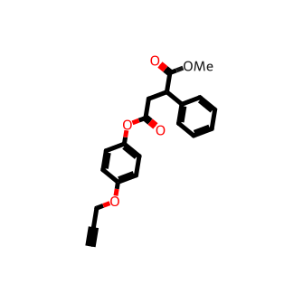 C#CCOc1ccc(OC(=O)CC(C(=O)OC)c2ccccc2)cc1